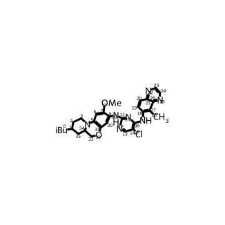 CCC(C)C1CCN2c3cc(OC)c(Nc4ncc(Cl)c(Nc5ccc6nccnc6c5C)n4)cc3OCC2C1